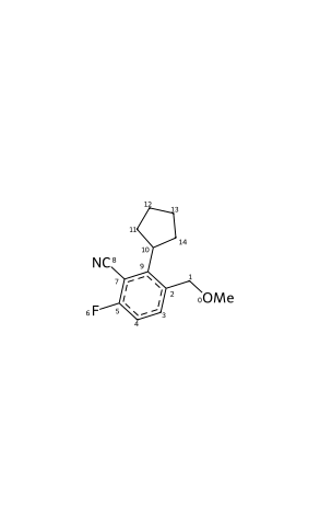 COCc1ccc(F)c(C#N)c1C1CCCC1